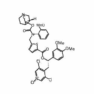 COc1ccc([C@H](Cc2c(Cl)c[n+]([O-])cc2Cl)OC(=O)c2ccc(CN(C(=O)O[C@H]3CN4CCC3CC4)c3ccccc3OC)s2)cc1OC